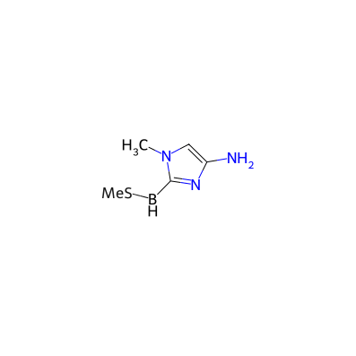 CSBc1nc(N)cn1C